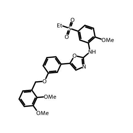 CCS(=O)(=O)c1ccc(OC)c(Nc2ncc(-c3cccc(OCc4cccc(OC)c4OC)c3)o2)c1